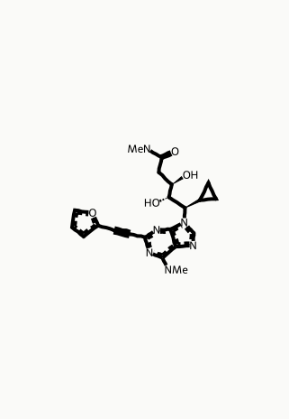 CNC(=O)C[C@@H](O)[C@@H](O)[C@@H](C1CC1)n1cnc2c(NC)nc(C#Cc3ccco3)nc21